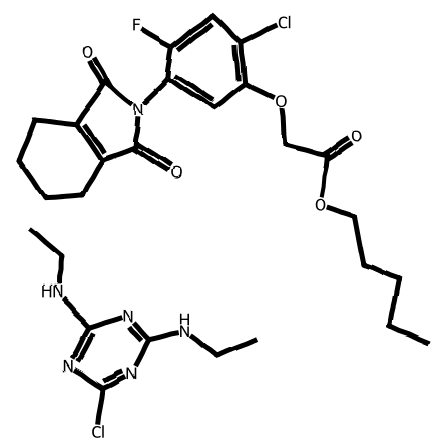 CCCCCOC(=O)COc1cc(N2C(=O)C3=C(CCCC3)C2=O)c(F)cc1Cl.CCNc1nc(Cl)nc(NCC)n1